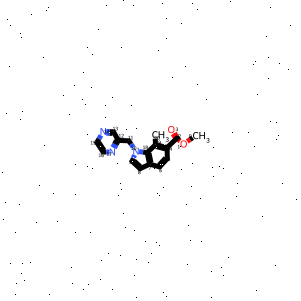 COC(=O)c1ccc2ccn(Cc3cnccn3)c2c1C